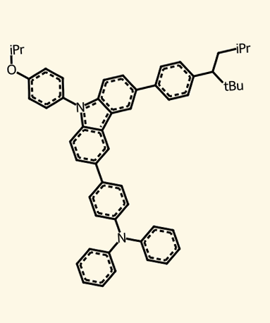 CC(C)CC(c1ccc(-c2ccc3c(c2)c2cc(-c4ccc(N(c5ccccc5)c5ccccc5)cc4)ccc2n3-c2ccc(OC(C)C)cc2)cc1)C(C)(C)C